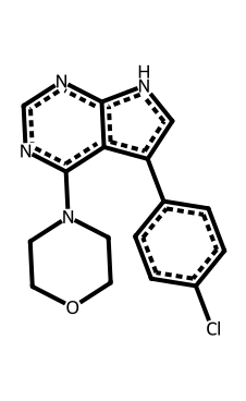 Clc1ccc(-c2c[nH]c3ncnc(N4CCOCC4)c23)cc1